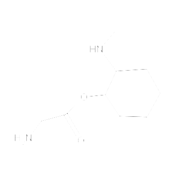 CNC1CCCCC1OC(=O)CN